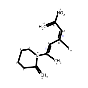 C=C1CCCCN1/C(C)=C/C(I)=C\C(=C)[N+](=O)[O-]